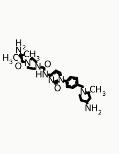 CC1CC(N)CCN1Cc1ccc(-n2ccc(NC(=O)N3CCN(C(=O)C(C)(C)N)CC3)nc2=O)cc1